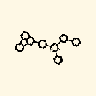 c1ccc(-c2cccc(-c3cc(-c4ccc(-c5cc6c7c(cccc7c5)-c5ccccc5-6)cc4)nc(-c4ccccc4)n3)c2)cc1